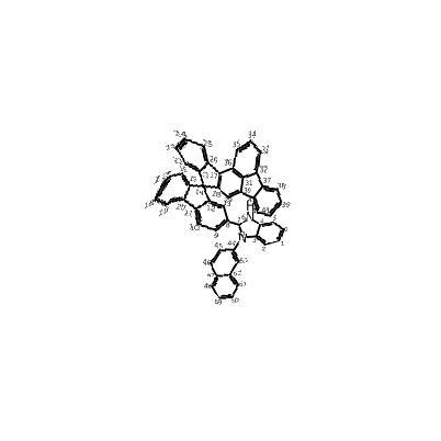 c1ccc2c(c1)NC(c1ccc3c(c1)C1(c4ccccc4-3)c3ccccc3-c3c1cc1c4c(cccc34)-c3ccccc3-1)N2c1ccc2ccccc2c1